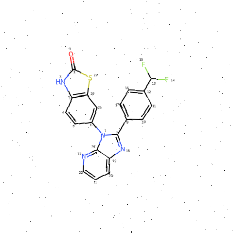 O=c1[nH]c2ccc(-n3c(-c4ccc(C(F)F)cc4)nc4cccnc43)cc2s1